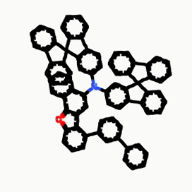 c1ccc(-c2cccc(-c3cccc4oc5c6ccccc6c(N(c6ccc7c(c6)C6(c8ccccc8-c8ccccc86)c6ccccc6-7)c6ccc7c(c6)C6(c8ccccc8-c8ccccc86)c6ccccc6-7)cc5c34)c2)cc1